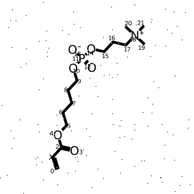 C=CC(=O)OCCCCCOP(=O)([O-])OCCC[N+](C)(C)C